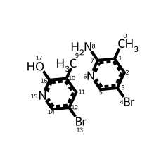 Cc1cc(Br)cnc1N.Cc1cc(Br)cnc1O